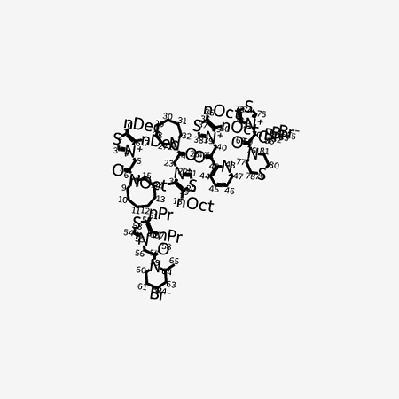 CCCCCCCCCCc1sc[n+](CC(=O)N2CCCCCCC2)c1CCCCCCCCCC.CCCCCCCCc1sc[n+](CC(=O)N2CCCCCC2)c1CCCCCCCC.CCCCCCCCc1sc[n+](CC(=O)c2ccccn2)c1CCCCCCCC.CCCc1sc[n+](CC(=O)N2CCCCC2C)c1CCC.O=C(C[n+]1ccsc1)N1CCSCC1.[Br-].[Br-].[Br-].[Br-].[Cl-]